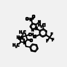 CC(C)N(Cc1ccccc1)C(=O)C(C)(C)C.Nc1c([N+](=O)[O-])cnn1-c1c(Cl)cc(C(F)(F)F)cc1Cl